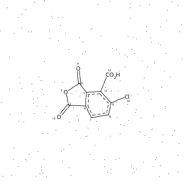 O=C1OC(=O)c2c1ccc(Cl)c2C(=O)O